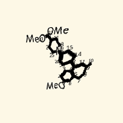 COc1ccc2c(c1)CCC(C)C=C2c1ccc(N2CCC(C(OC)OC)CC2)cc1